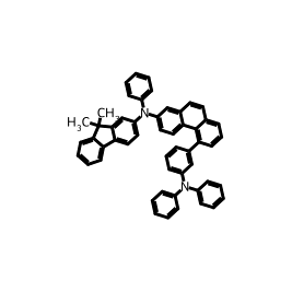 CC1(C)c2ccccc2-c2ccc(N(c3ccccc3)c3ccc4c(ccc5cccc(-c6cccc(N(c7ccccc7)c7ccccc7)c6)c54)c3)cc21